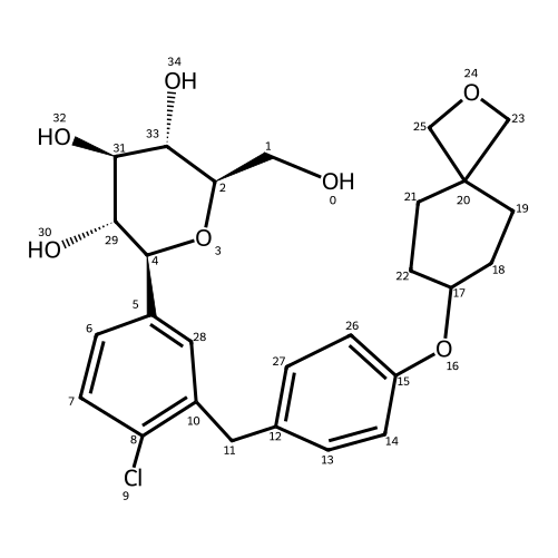 OC[C@H]1O[C@@H](c2ccc(Cl)c(Cc3ccc(OC4CCC5(CC4)COC5)cc3)c2)[C@H](O)[C@@H](O)[C@@H]1O